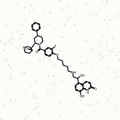 O=C(c1ccc(OCCCCCNCC(O)c2ccc(O)c3[nH]c(=O)ccc23)c(F)c1)N1CCC(c2ccccc2)CC1C1CN2CCC1CC2